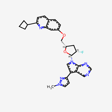 Cn1ccc(-c2cn([C@@H]3O[C@H](COc4ccc5ccc(C6CCC6)nc5c4)C[C@@H]3F)c3ncncc23)n1